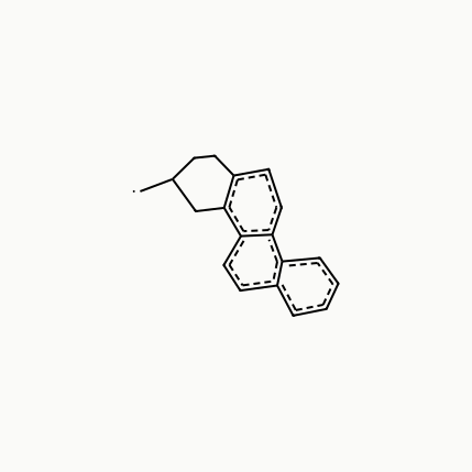 [CH2]C1CCc2ccc3c(ccc4ccccc43)c2C1